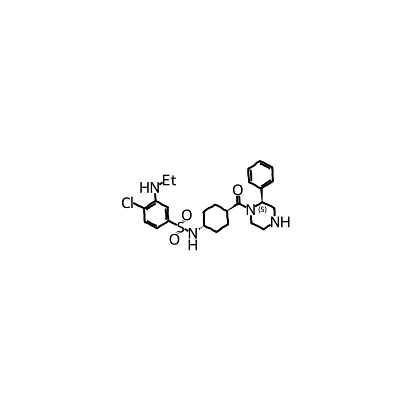 CCNc1cc(S(=O)(=O)N[C@H]2CC[C@H](C(=O)N3CCNC[C@@H]3c3ccccc3)CC2)ccc1Cl